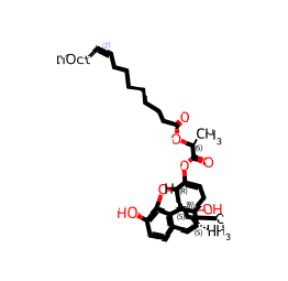 CCCCCCCC/C=C\CCCCCCCC(=O)O[C@@H](C)C(=O)OC1=CC[C@@]2(O)[C@H]3Cc4ccc(O)c5c4[C@@]2(CCC3C)[C@H]1O5